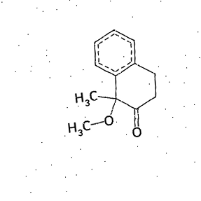 COC1(C)C(=O)CCc2ccccc21